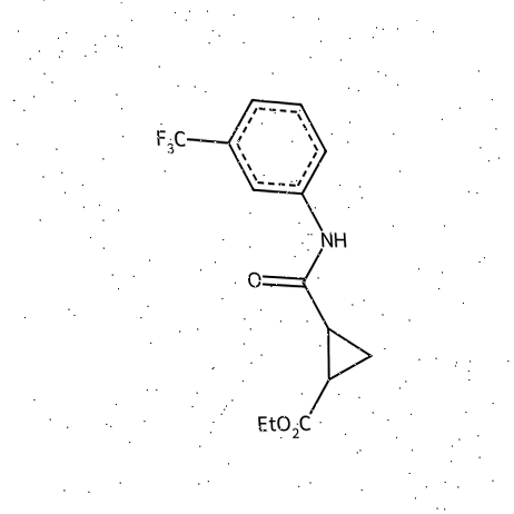 CCOC(=O)C1CC1C(=O)Nc1cccc(C(F)(F)F)c1